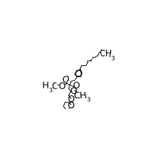 CCCCCCCCc1ccc(CCC(CCCOC2CCCCO2)(C(=O)OCC)C(=O)OCC)cc1